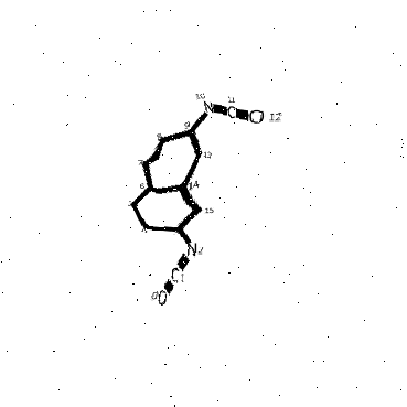 O=C=NC1CCC2CCC(N=C=O)CC2C1